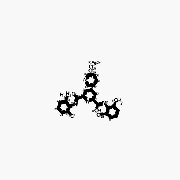 CC(=Nc1c(C)cccc1Cl)c1cccc(C(C)=Nc2c(C)cccc2Cl)n1.[Cl-].[Cl-].[Fe+2].c1ccncc1